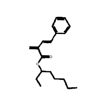 C=C(C=Cc1ccccc1)C(=O)OC(CC)CCCCC